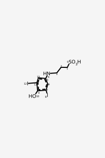 O=S(=O)(O)CCCNc1cc(I)c(O)c(I)c1